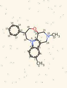 Cc1ccc2c(c1)c1c3n2CC(c2ccccc2)COC3CN(C)C1